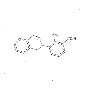 Nc1c(C(=O)O)cccc1C1CCc2ccccc2C1